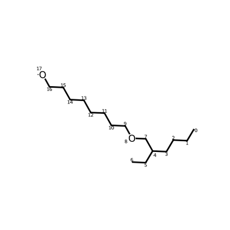 CCCCC(CC)COCCCCCCCC[O]